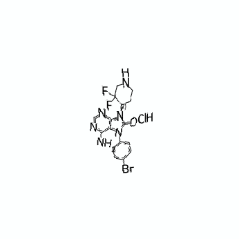 Cl.Nc1ncnc2c1n(-c1ccc(Br)cc1)c(=O)n2[C@@H]1CCNCC1(F)F